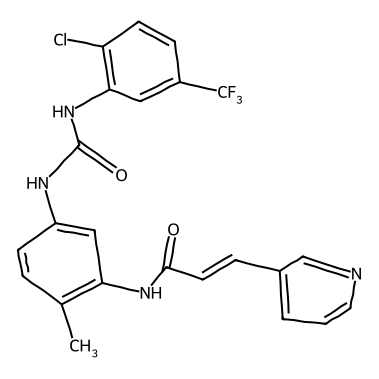 Cc1ccc(NC(=O)Nc2cc(C(F)(F)F)ccc2Cl)cc1NC(=O)/C=C/c1cccnc1